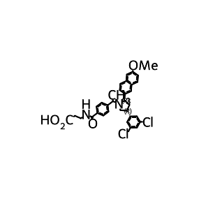 COc1ccc2cc([C@H]3C[C@H](c4cc(Cl)cc(Cl)c4)CN3C(C)c3ccc(C(=O)NCCC(=O)O)cc3)ccc2c1